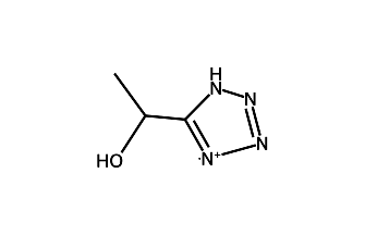 CC(O)C1=[N+]N=NN1